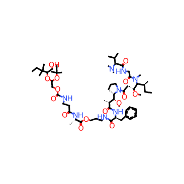 CC[C@H](C)C([C@@H](CC(=O)N1CCC[C@H]1[C@H](OC)[C@@H](C)C(=O)N[C@@H](Cc1ccccc1)C(=O)NCCCOC(=O)[C@H](C)NC(=O)CCNC(=O)OCC(OC(CO)C(C)(C)CC)OC(C)(C)C)OC)N(C)C(=O)CNC(=O)C(C(C)C)N(C)C